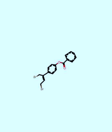 O=C(Oc1ccc(/C(=C/CBr)CBr)cc1)c1ccccc1